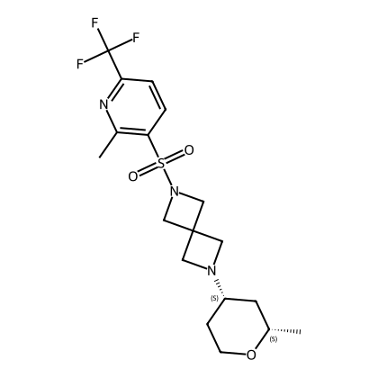 Cc1nc(C(F)(F)F)ccc1S(=O)(=O)N1CC2(CN([C@H]3CCO[C@@H](C)C3)C2)C1